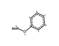 CNOc1ccccc1